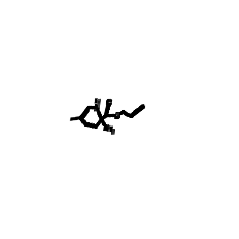 C=CCOC(=O)C1(N)C=CC(C)=CN1